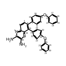 Nc1nc2ccc(-c3ccc(Oc4ccccc4)cc3)c(-c3ccc(Oc4ccccc4)cc3)c2nc1N